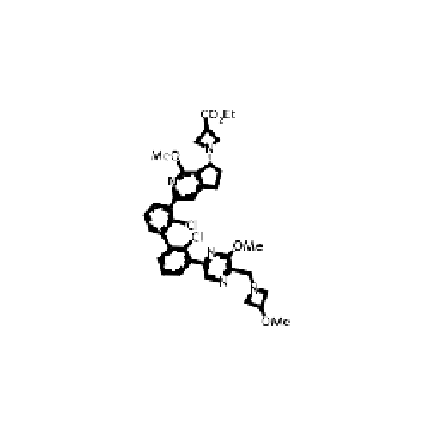 CCOC(=O)C1CN([C@@H]2CCc3cc(-c4cccc(-c5cccc(-c6cnc(CN7CC(OC)C7)c(OC)n6)c5Cl)c4Cl)nc(OC)c32)C1